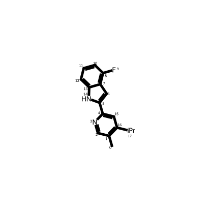 Cc1cnc(-c2cc3c(F)cccc3[nH]2)cc1C(C)C